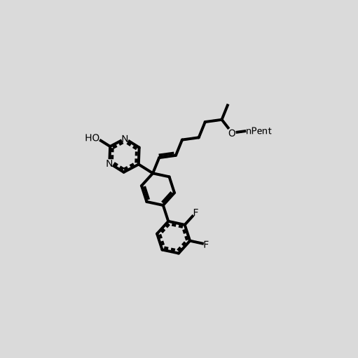 CCCCCOC(C)CCC/C=C/C1(c2cnc(O)nc2)C=CC(c2cccc(F)c2F)=CC1